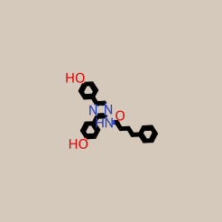 O=C(CCCc1ccccc1)Nc1ncc(-c2ccc(O)cc2)nc1-c1ccc(O)cc1